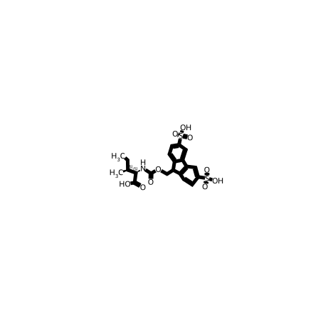 CC[C@H](C)[C@H](NC(=O)OCC1c2ccc(S(=O)(=O)O)cc2-c2cc(S(=O)(=O)O)ccc21)C(=O)O